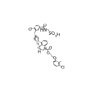 Cc1c(Cl)cccc1OCCOC(=O)N1C[C@@H]2C[C@@H]2c2c(-c3cnn(Cc4cc(C(=O)NCS(=O)(=O)O)ccc4Cl)c3)cccc21